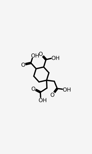 O=C(O)CC1(CC(=O)O)CCC(C(=O)O)C(C(=O)O)C1